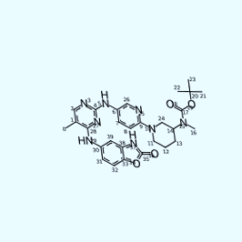 Cc1cnc(Nc2ccc(N3CCCC(N(C)C(=O)OC(C)(C)C)C3)nc2)nc1Nc1ccc2oc(=O)[nH]c2c1